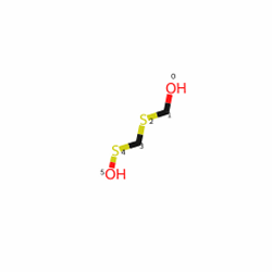 OCSCSO